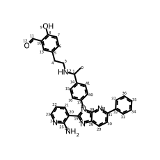 CC(NCCc1ccc(O)c(C=O)c1)c1ccc(-n2c(-c3cccnc3N)nc3ccc(-c4ccccc4)nc32)cc1